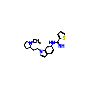 CN1CCCC1CCn1ccc2ccc(NC(=N)c3cccs3)cc21